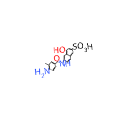 Cc1cc(C(=O)Nc2ccc3cc(S(=O)(=O)O)cc(O)c3c2)ccc1N